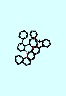 c1ccc(-c2ccccc2-c2c(-c3ccccc3)cccc2N(c2ccc3c4ccccc4n(-c4ccccc4)c3c2)c2cccc3ccccc23)cc1